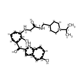 CC(C)N1CCC(CNC(=O)CNc2cccc(C(=O)c3cc4cc(Cl)ccc4[nH]3)c2Cl)CC1